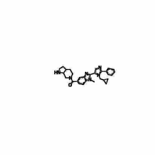 Cn1c(-c2cnc(-c3ccccc3)n2CC2CC2)nc2cc(C(=O)N3CCC4CCNC4C3)ccc21